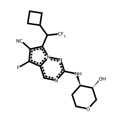 N#Cc1c(F)c2cnc(N[C@@H]3CCOC[C@H]3O)nn2c1C(C1CCC1)C(F)(F)F